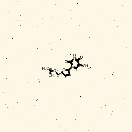 Cc1cn(C2C=C[C@@H](COC(C)C)O2)c(=O)[nH]c1=O